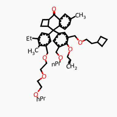 C=CCOc1c(COCCC)cc(C2(c3cc(CC)c(C)c(COCCOCCOCCC)c3)c3ccc(C)cc3C(=O)C3CCC32)cc1COCCC1CCC1